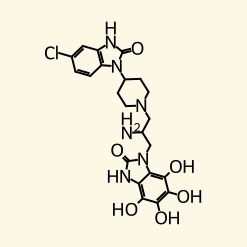 NC(CN1CCC(n2c(=O)[nH]c3cc(Cl)ccc32)CC1)Cn1c(=O)[nH]c2c(O)c(O)c(O)c(O)c21